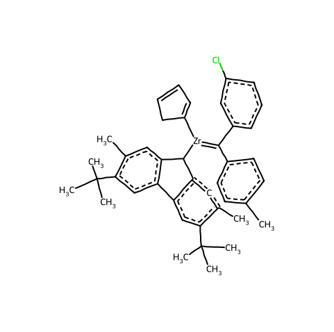 Cc1ccc([C](c2cccc(Cl)c2)=[Zr]([C]2=CC=CC2)[CH]2c3cc(C)c(C(C)(C)C)cc3-c3cc(C(C)(C)C)c(C)cc32)cc1